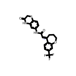 O=C(/C=C1\CCCOc2cc(C(F)(F)F)ccc21)Nc1ccc2c(c1)NC(=O)CS2